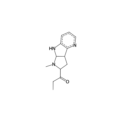 CCC(=O)C1CC2c3ncccc3NC2N1C